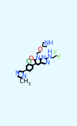 Cc1cncc(-c2ccc(-c3cc4cnc(NCC(F)F)nc4n(CCOC4CNC4)c3=O)c(Cl)c2)n1